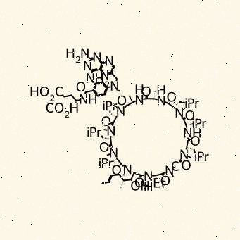 C/C=C/C[C@@H](C)[C@@H](O)[C@H]1C(=O)N[C@@H](CC)C(=O)N(C)CC(=O)N(C)[C@@H](CC(C)C)C(=O)N[C@@H](C(C)C)C(=O)N(C)[C@@H](CC(C)C)C(=O)N[C@@H](C)C(=O)N[C@H](C)C(=O)N(C)[C@@H](CC(C)C)C(=O)N(C)[C@@H](CC(C)C)C(=O)N(C)[C@@H](C(C)C)C(=O)N1C.CN(Cc1cnc2nc(N)nc(N)c2n1)c1ccc(C(=O)N[C@@H](CCC(=O)O)C(=O)O)cc1